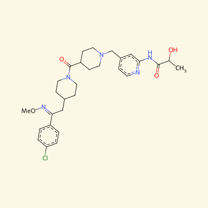 CON=C(CC1CCN(C(=O)C2CCN(Cc3ccnc(NC(=O)C(C)O)c3)CC2)CC1)c1ccc(Cl)cc1